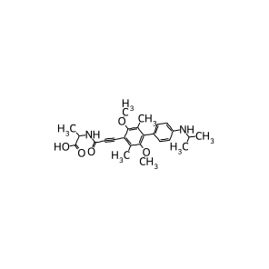 COc1c(C)c(-c2ccc(NC(C)C)cc2)c(OC)c(C)c1C#CC(=O)NC(C)C(=O)O